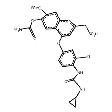 COc1cc2nc(CS(=O)(=O)O)cc(Oc3ccc(NC(=O)NC4CC4)c(Cl)c3)c2cc1OC(N)=O